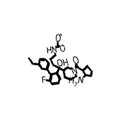 CCc1cccc(-c2c(F)cccc2C(O)(CCCNC(=O)OC)C2CCCN(C(=O)C3CCCC3N)C2)c1